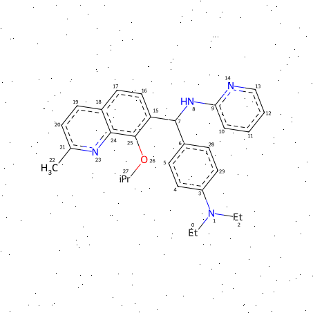 CCN(CC)c1ccc(C(Nc2ccccn2)c2ccc3ccc(C)nc3c2OC(C)C)cc1